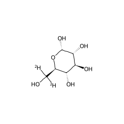 [2H]C([2H])(O)[C@H]1O[C@H](O)[C@H](O)[C@@H](O)[C@@H]1O